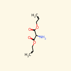 C=CCOC(=O)C(N)C(=O)OCC=C